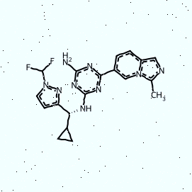 Cc1ncc2ccc(-c3nc(N)nc(N[C@@H](c4ccn(C(F)F)n4)C4CC4)n3)cn12